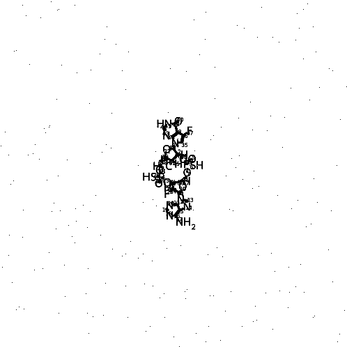 C[C@H]1[C@H]2OP(=O)(S)OC[C@H]3O[C@@H](n4cnc5c(N)ncnc54)[C@H](F)[C@@H]3OP(=O)(S)OC[C@H]1O[C@H]2n1cc(F)c2c(=O)[nH]cnc21